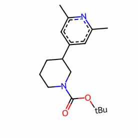 Cc1cc(C2CCCN(C(=O)OC(C)(C)C)C2)cc(C)n1